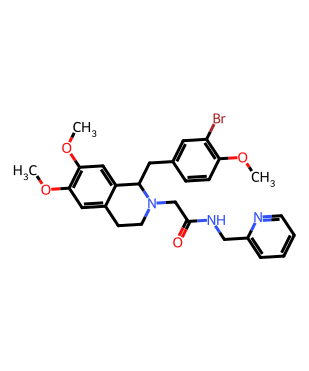 COc1ccc(CC2c3cc(OC)c(OC)cc3CCN2CC(=O)NCc2ccccn2)cc1Br